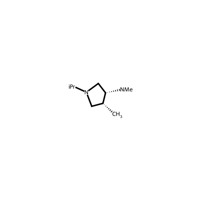 CN[C@H]1CN(C(C)C)C[C@H]1C